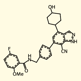 COc1ccc(F)cc1C(=O)NCc1ccc(-c2cc(C3CCC(O)CC3)c3cn[nH]c3c2C#N)cc1